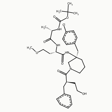 COCC[C@H](NC(=O)[C@H](C)NC(=O)OC(C)(C)C)C(=O)N[C@@]1(Cc2ccc(Cl)cc2)CCCN(C(=O)[C@@H](CCO)Cc2ccccc2)C1